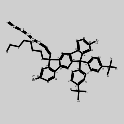 C=C=C=C=C=C=C=CC1(CCCCCCCC)c2cc(Br)ccc2-c2cc3c(cc21)-c1ccc(Br)cc1C3(c1ccc(C(C)(C)C)cc1)c1ccc(C(C)(C)C)cc1